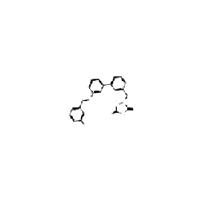 O=c1[nH]c(=O)n(Cc2cccc(-c3cccc(OCc4cccc(Cl)c4)c3)c2)o1